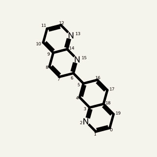 c1cnc2cc(-c3ccc4cccnc4n3)ccc2c1